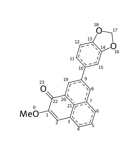 COC1=Cc2cccc3cc(-c4ccc5c(c4)OCO5)cc(c23)C1=O